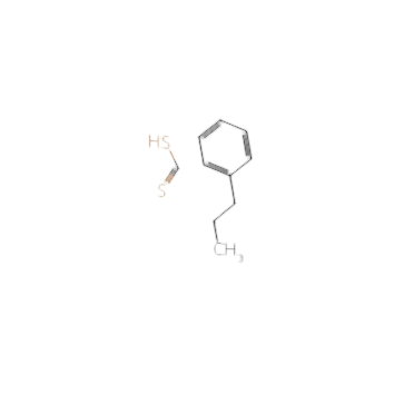 CCCc1ccccc1.S=CS